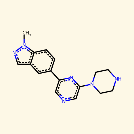 Cn1ncc2cc(-c3cncc(N4CCNCC4)n3)ccc21